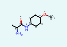 CC(N)C(=O)N[C@H]1CC[C@@H](O[N+](=O)[O-])CC1